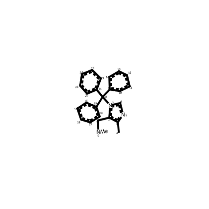 CNCc1c(C)ncn1C(c1ccccc1)(c1ccccc1)c1ccccc1